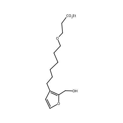 CCOC(=O)CCOCCCCCCc1ccoc1CO